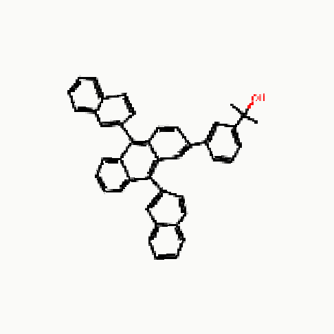 CC(C)(O)c1cccc(-c2ccc3c(-c4ccc5ccccc5c4)c4ccccc4c(-c4ccc5ccccc5c4)c3c2)c1